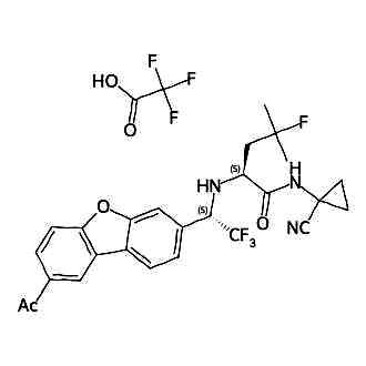 CC(=O)c1ccc2oc3cc([C@H](N[C@@H](CC(C)(C)F)C(=O)NC4(C#N)CC4)C(F)(F)F)ccc3c2c1.O=C(O)C(F)(F)F